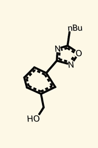 CCCCc1nc(-c2cccc(CO)c2)no1